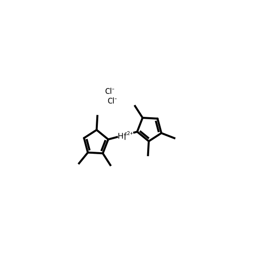 CC1=CC(C)[C]([Hf+2][C]2=C(C)C(C)=CC2C)=C1C.[Cl-].[Cl-]